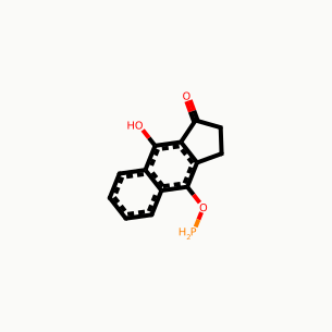 O=C1CCc2c1c(O)c1ccccc1c2OP